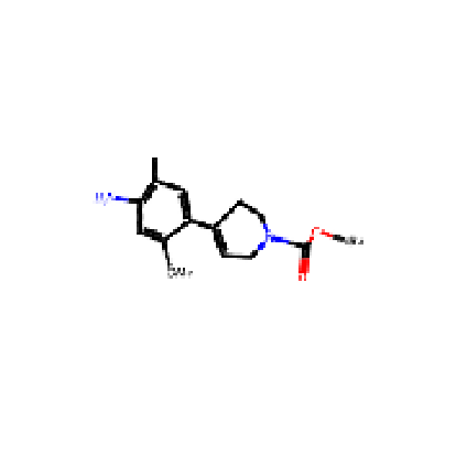 COc1cc(N)c(C)cc1C1=CCN(C(=O)OC(C)(C)C)CC1